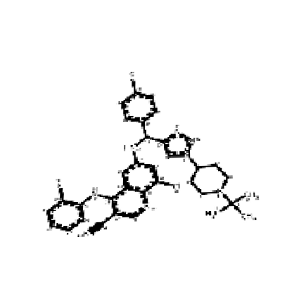 CC(C)(C)N1CCC(n2cc(C(Nc3cc(Cl)c4ncc(C#N)c(Nc5ccccc5F)c4c3)c3ccc(Cl)cc3)nn2)CC1